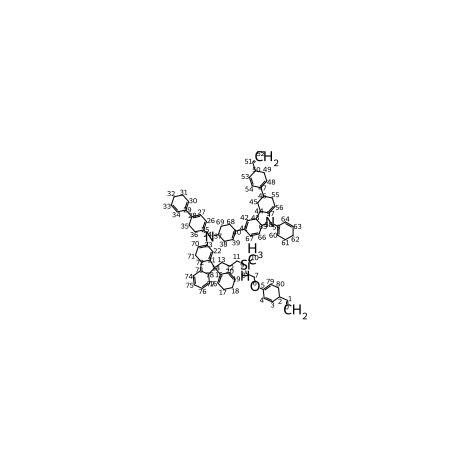 C=CC1C=CC(OCC[SiH](C)CCCC2(C3=CCCC=C3)C3=CC(N(C4=CC=C(C5=CCCC=C5)CC4)C4CC=C(C5=CC6C7CC(C8=CCC(C=C)C=C8)CC=C7N(C7=CCCC=C7)C6C=C5)CC4)=CCC3C3C=CC=CC32)=CC1